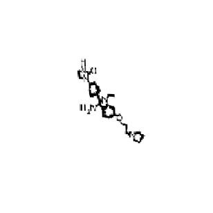 CCn1c(-c2ccc(N3CCNC3=O)cc2)c(N)c2ccc(OCCCN3CCCC3)cc21